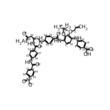 C=CCOc1c(Nc2ccc(C(=O)O)cc2)ccc(NC(=O)c2ccc(NC[C@H](CC(=O)[AsH2])NC(=O)c3ccc(NC(=O)c4ccc([N+](=O)[O-])cc4)cc3)cc2)c1OC(C)C